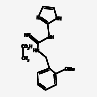 CC(=O)O.COc1ccccc1CNC(=N)Nc1ncc[nH]1